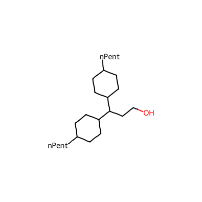 CCCCCC1CCC(C(CCO)C2CCC(CCCCC)CC2)CC1